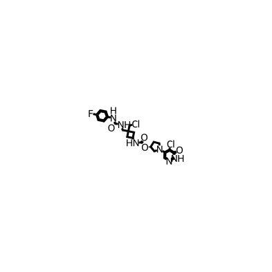 O=C(NCC1(CCl)CC(NC(=O)O[C@@H]2CCN(c3cn[nH]c(=O)c3Cl)C2)C1)Nc1ccc(F)cc1